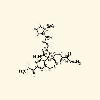 CNC(=O)c1ccc2c(c1)CCc1cc(C(=O)NC)ccc1C2(CCNCC(=O)N1CCC[C@H]1C#N)C(=N)N